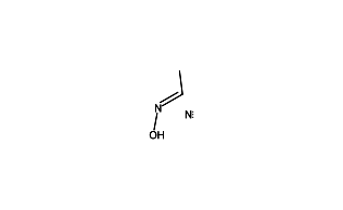 CC=NO.[N]